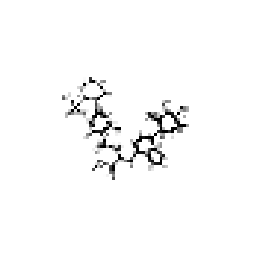 COC(=O)[C@H](Cc1ccc(-c2cc(Cl)c(C)n(C)c2=O)c2nccn12)NC(=O)c1c(C)cc(N2CCOC[C@@H]2C(F)(F)F)cc1F